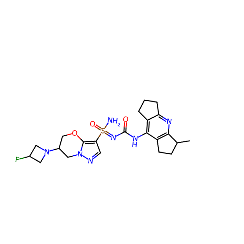 CC1CCc2c1nc1c(c2NC(=O)N=S(N)(=O)c2cnn3c2OCC(N2CC(F)C2)C3)CCC1